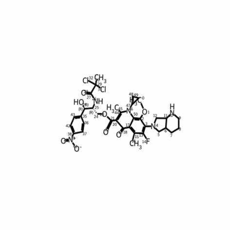 COc1c(N2CC3CCCNC3C2)c(F)c(C)c2c(=O)c(C(=O)OC[C@@H](NC(=O)C(C)(Cl)Cl)[C@H](O)c3ccc([N+](=O)[O-])cc3)c(C)n(C3CC3)c12